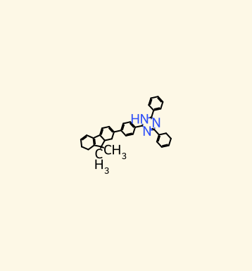 CC1(C)C2=C(C=CCC2)C2=CC=C(c3ccc(C4N=C(C5=CC=CCC5)N=C(c5ccccc5)N4)cc3)CC21